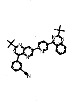 CC(C)(C)c1nc(-c2ccc(-c3cnc4c(-c5cccc(C#N)c5)nc(C(C)(C)C)nc4c3)nc2)c2ccccc2n1